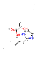 C=CCc1ncc[nH]1.CC(O)C(=O)O